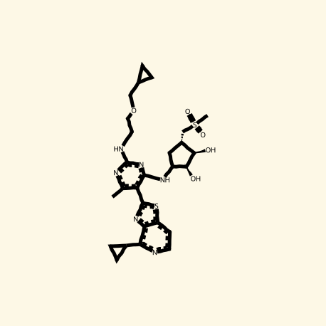 Cc1nc(NCCOCC2CC2)nc(NC2C[C@H](CS(C)(=O)=O)[C@@H](O)[C@H]2O)c1-c1nc2c(C3CC3)nccc2s1